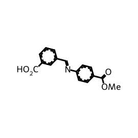 COC(=O)c1ccc(N=Cc2cccc(C(=O)O)c2)cc1